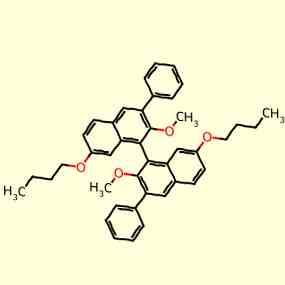 CCCCOc1ccc2cc(-c3ccccc3)c(OC)c(-c3c(OC)c(-c4ccccc4)cc4ccc(OCCCC)cc34)c2c1